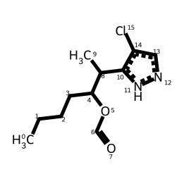 CCCCC(OC=O)C(C)c1[nH]ncc1Cl